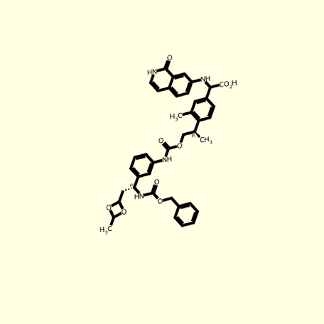 Cc1cc(C(Nc2ccc3cc[nH]c(=O)c3c2)C(=O)O)ccc1[C@@H](C)COC(=O)Nc1cccc([C@@H](CC2OC(C)O2)NC(=O)OCc2ccccc2)c1